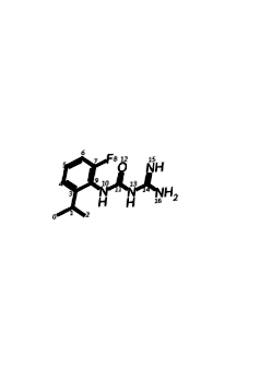 CC(C)c1cccc(F)c1NC(=O)NC(=N)N